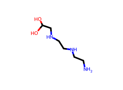 NCCNCCNCC(O)O